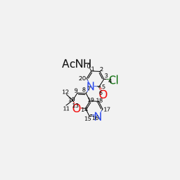 CC(=O)Nc1cc(Cl)c(=O)n(C2=CC(C)(C)Oc3cnccc32)c1